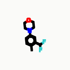 Cc1ccc(N2CCOCC2)cc1C(F)F